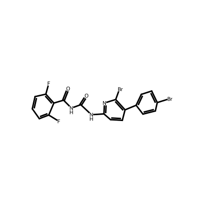 O=C(NC(=O)c1c(F)cccc1F)Nc1ccc(-c2ccc(Br)cc2)c(Br)n1